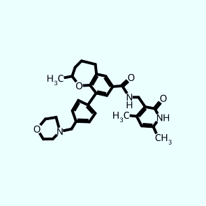 Cc1cc(C)c(CNC(=O)c2cc3c(c(-c4ccc(CN5CCOCC5)cc4)c2)OC(C)CCC3)c(=O)[nH]1